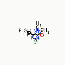 Cc1nc2c(C34CC(C(F)(F)F)(C3)C4)nc(Cl)nc2c(=O)n1C